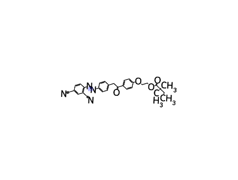 CCC(C)(C)C(=O)OCCOc1ccc(C(=O)Cc2ccc(/N=N/c3ccc(C#N)cc3C#N)cc2)cc1